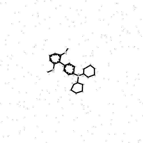 COc1cccc(OC)c1-c1ccc(P(C2CCCCC2)C2CCCCC2)cc1